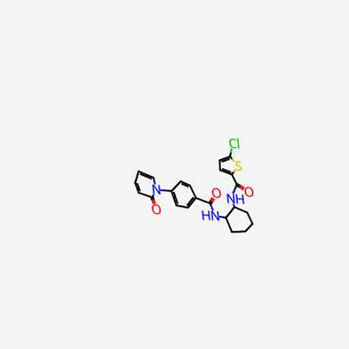 O=C(NC1CCCCC1NC(=O)c1ccc(Cl)s1)c1ccc(-n2ccccc2=O)cc1